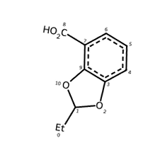 CCC1Oc2cccc(C(=O)O)c2O1